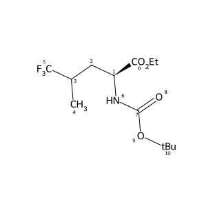 CCOC(=O)[C@H](CC(C)C(F)(F)F)NC(=O)OC(C)(C)C